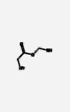 CCCCC(=O)OC[NH]